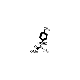 COC(=O)N(C)S(=O)(=O)c1ccc(C)cc1